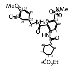 CCOC(=O)[C@H]1CC[C@H](C(=O)Nc2ccc(S(=O)(=O)NC)cc2C(=O)NCc2ccc(OC)c(Cl)c2)CC1